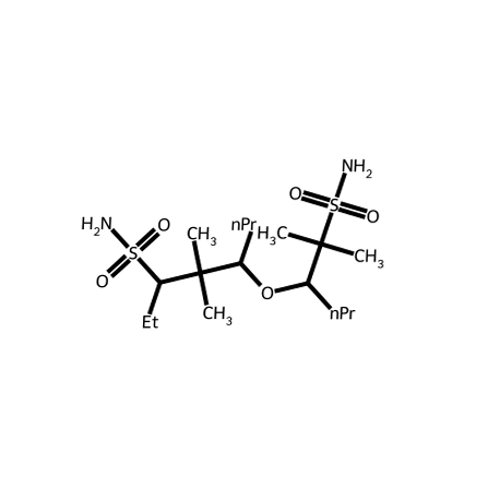 CCCC(OC(CCC)C(C)(C)S(N)(=O)=O)C(C)(C)C(CC)S(N)(=O)=O